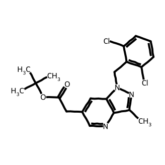 Cc1nn(Cc2c(Cl)cccc2Cl)c2cc(CC(=O)OC(C)(C)C)cnc12